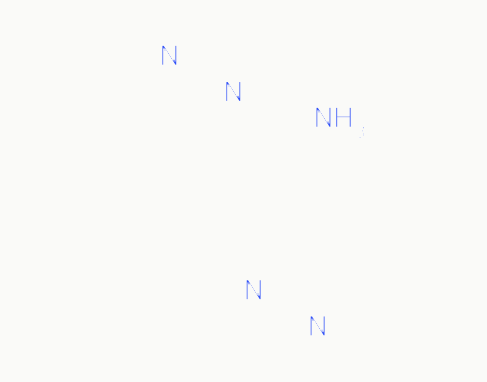 C1=CC(=C2C=CN=N2)N=N1.N